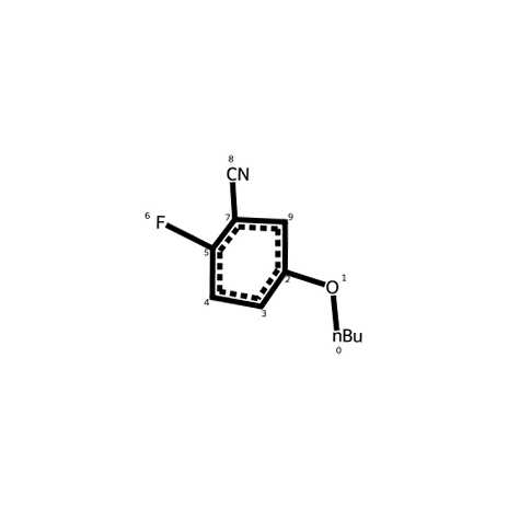 CCCCOc1ccc(F)c(C#N)c1